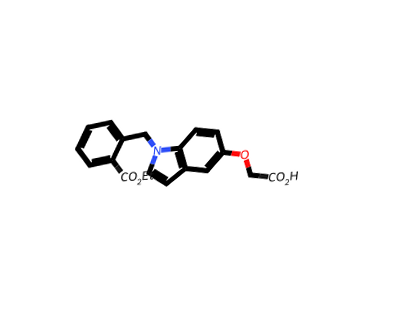 CCOC(=O)c1ccccc1Cn1ccc2cc(OCC(=O)O)ccc21